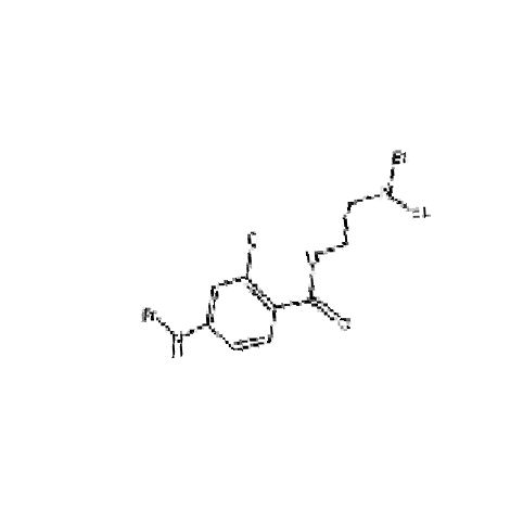 CCN(CC)CCOC(=O)c1ccc(NC(C)C)cc1Cl